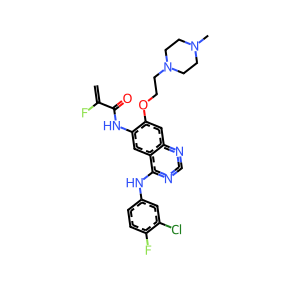 C=C(F)C(=O)Nc1cc2c(Nc3ccc(F)c(Cl)c3)ncnc2cc1OCCN1CCN(C)CC1